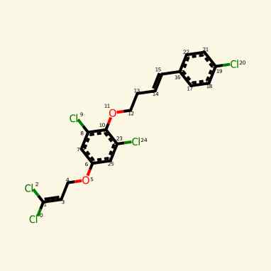 ClC(Cl)=CCOc1cc(Cl)c(OCCC=Cc2ccc(Cl)cc2)c(Cl)c1